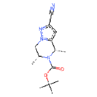 C[C@@H]1Cn2nc(C#N)cc2[C@H](C)N1C(=O)OC(C)(C)C